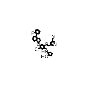 N#Cc1cncc(COc2cc(O[C@H]3CCc4c(-c5ccccc5F)cccc43)c(Cl)cc2CN[C@@H]2CCC[C@H]2O)c1